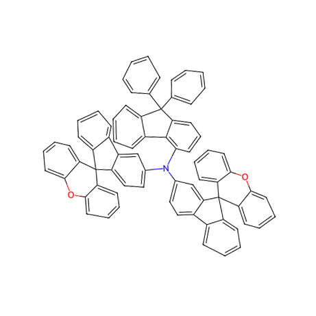 c1ccc(C2(c3ccccc3)c3ccccc3-c3c(N(c4ccc5c(c4)-c4ccccc4C54c5ccccc5Oc5ccccc54)c4ccc5c(c4)C4(c6ccccc6Oc6ccccc64)c4ccccc4-5)cccc32)cc1